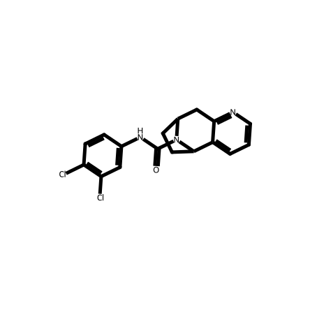 O=C(Nc1ccc(Cl)c(Cl)c1)N1C2CCC1c1cccnc1C2